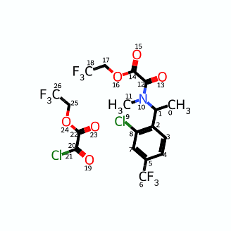 CC(c1ccc(C(F)(F)F)cc1Cl)N(C)C(=O)C(=O)OCC(F)(F)F.O=C(Cl)C(=O)OCC(F)(F)F